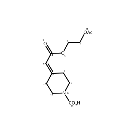 CC(=O)OCCOC(=O)C=C1CCN(C(=O)O)CC1